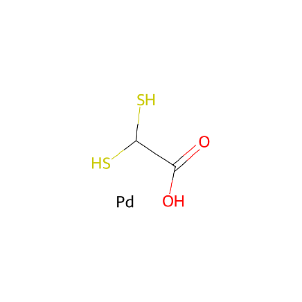 O=C(O)C(S)S.[Pd]